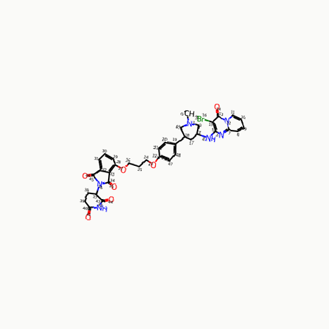 CN1CC(Nc2nc3ccccn3c(=O)c2Br)CC(c2ccc(OCCCOc3cccc4c3C(=O)N(C3CCC(=O)NC3=O)C4=O)cc2)C1